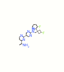 C=C(N)c1ccnc(-c2cnc(NC[C@]3(c4ncccc4F)C[C@H](F)C3)nc2)n1